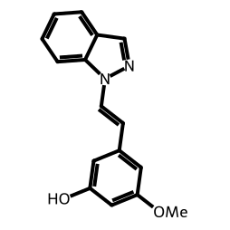 COc1cc(O)cc(/C=C/n2ncc3ccccc32)c1